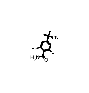 CC(C)(C#N)c1cc(F)c(C(N)=O)c(Br)c1